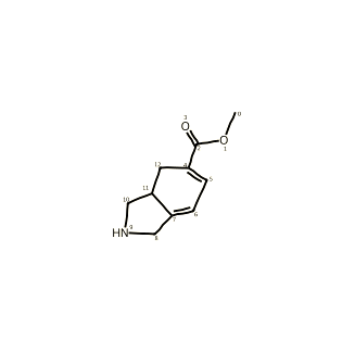 COC(=O)C1=CC=C2CNCC2C1